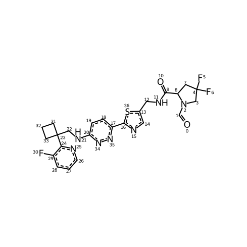 O=CN1CC(F)(F)CC1C(=O)NCc1cnc(-c2ccc(NCC3(c4ncccc4F)CCC3)nn2)s1